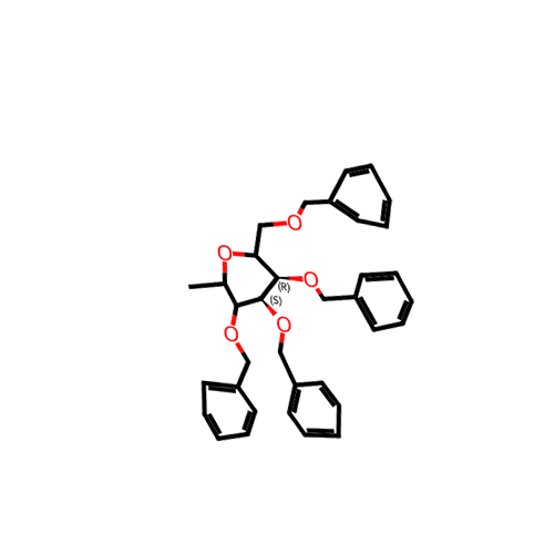 CC1OC(COCc2ccccc2)[C@@H](OCc2ccccc2)[C@@H](OCc2ccccc2)C1OCc1ccccc1